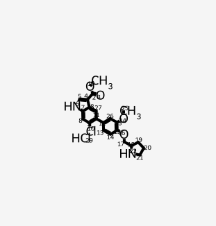 COC(=O)c1c[nH]c2cc(Cl)c(-c3ccc(OCC4CCCN4)c(OC)c3)cc12.Cl